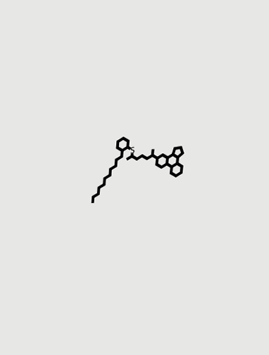 CCCCCCCCCCCC1CCCCC1SC(C)CCCC(C)C1CCC2C3CCCCC3C3CCCC3C2C1